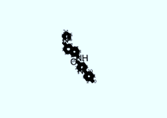 Cc1ccc(-c2ccc(C(=O)Nc3ccc4c(c3)CCC(CN3CCCC3)=C4)cn2)cc1